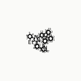 CCC1C(c2ccccc2)=NC(c2ccc3c(c2)C(c2ccccc2)(c2ccccc2)c2ccccc2-3)=NC1c1cccc(-c2ccc(C)nc2C)c1